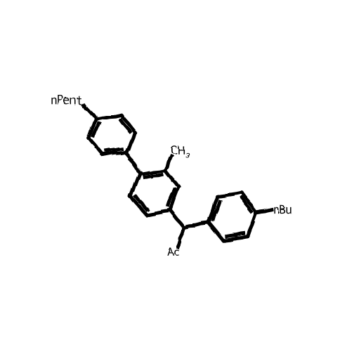 CCCCCc1ccc(-c2ccc(C(C(C)=O)c3ccc(CCCC)cc3)cc2C)cc1